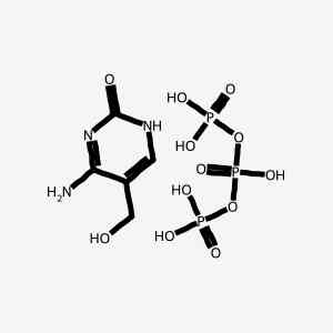 Nc1nc(=O)[nH]cc1CO.O=P(O)(O)OP(=O)(O)OP(=O)(O)O